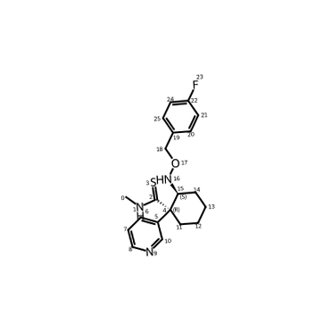 CNC(=S)[C@@]1(c2cccnc2)CCCC[C@@H]1NOCc1ccc(F)cc1